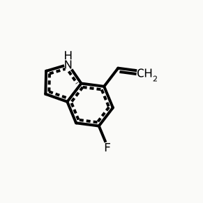 C=Cc1cc(F)cc2cc[nH]c12